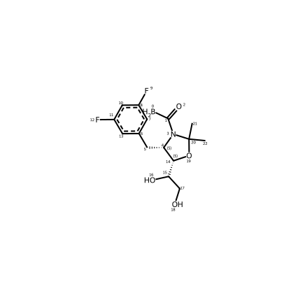 BC(=O)N1[C@@H](Cc2cc(F)cc(F)c2)[C@@H](C(O)CO)OC1(C)C